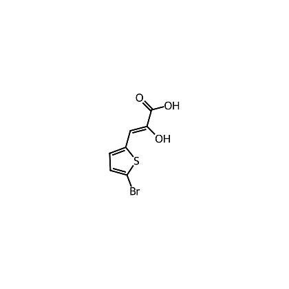 O=C(O)C(O)=Cc1ccc(Br)s1